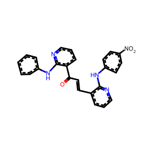 O=C(C=Cc1cccnc1Nc1ccc([N+](=O)[O-])cc1)c1cccnc1Nc1ccccc1